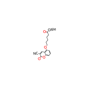 COC(=O)CCCCCOc1cccc2oc(=O)c(C#N)cc12